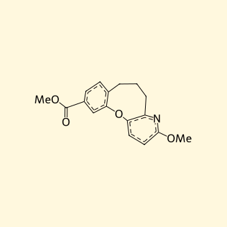 COC(=O)c1ccc2c(c1)Oc1ccc(OC)nc1CCC2